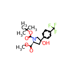 COC(=O)[C@@H]1C[C@](O)(c2ccc(C(F)(F)F)cc2)CN1C(=O)OC(C)(C)C